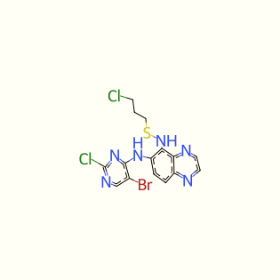 ClCCCSNc1c(Nc2nc(Cl)ncc2Br)ccc2nccnc12